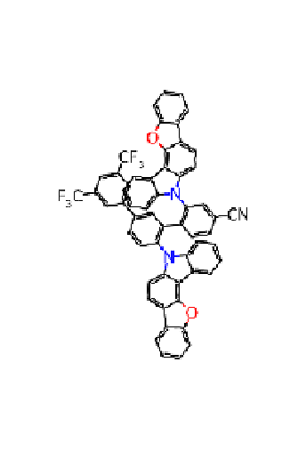 N#Cc1ccc(-c2cc(-c3cc(C(F)(F)F)cc(C(F)(F)F)c3)ccc2-n2c3ccccc3c3c4oc5ccccc5c4ccc32)c(-n2c3ccccc3c3c4oc5ccccc5c4ccc32)c1